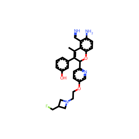 CC1=C(c2cccc(O)c2)C(c2ccc(OCCN3CC(CF)C3)cn2)Oc2ccc(N)c(C=N)c21